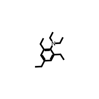 CCc1cc(CC)c(N(CC)CC)c(CC)c1